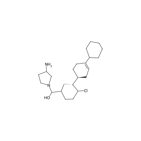 NC1CCN(C(O)C2CCC(Cl)[C@@H]([C@@H]3CC=C(C4CCCCC4)CC3)C2)C1